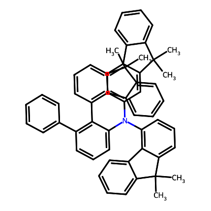 CC1(C)c2ccccc2-c2ccc(N(c3cccc(-c4ccccc4)c3-c3cccc4c3-c3ccccc3C4(C)C)c3cccc4c3-c3ccccc3C4(C)C)cc21